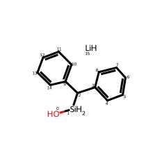 O[SiH2]C(c1ccccc1)c1ccccc1.[LiH]